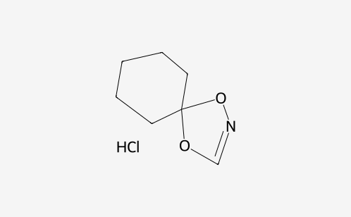 C1=NOC2(CCCCC2)O1.Cl